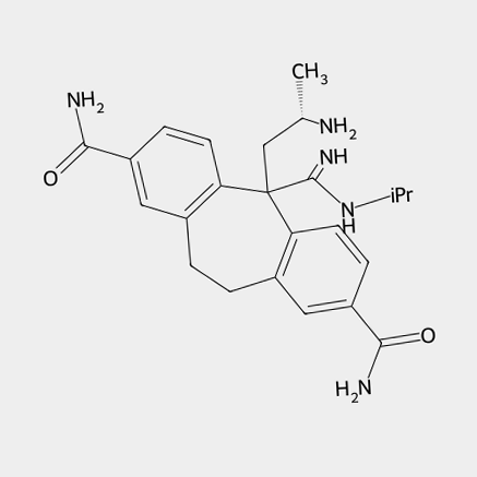 CC(C)NC(=N)C1(C[C@H](C)N)c2ccc(C(N)=O)cc2CCc2cc(C(N)=O)ccc21